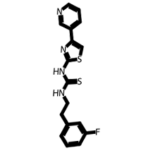 Fc1cccc(CCNC(=S)Nc2nc(-c3cccnc3)cs2)c1